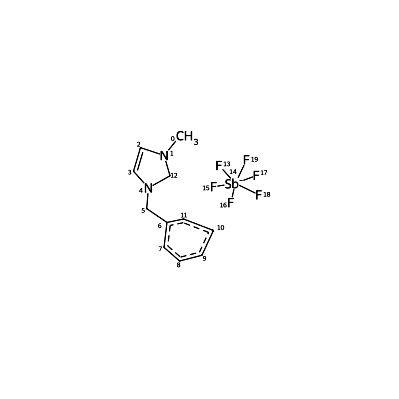 CN1C=CN(Cc2ccccc2)C1.[F][Sb-]([F])([F])([F])([F])[F]